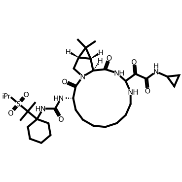 CC(C)S(=O)(=O)C(C)(C)C1(NC(=O)N[C@H]2CCCCCCCNC(C(=O)C(=O)NC3CC3)NC(=O)[C@@H]3[C@@H]4[C@H](CN3C2=O)C4(C)C)CCCCC1